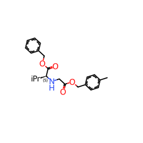 Cc1ccc(COC(=O)CN[C@H](C(=O)OCc2ccccc2)C(C)C)cc1